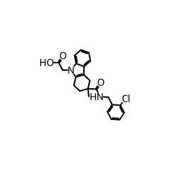 CC1(C(=O)NCc2ccccc2Cl)CCc2c(c3ccccc3n2CC(=O)O)C1